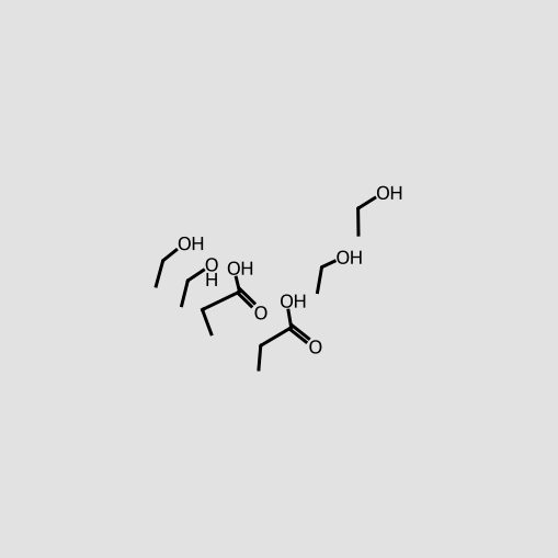 CCC(=O)O.CCC(=O)O.CCO.CCO.CCO.CCO